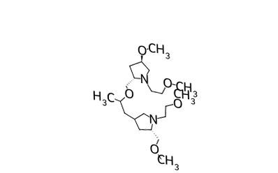 COCCN1CC(CC(C)OC[C@@H]2C[C@@H](OC)CN2CCOC)C[C@H]1COC